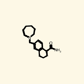 NC(=O)C1[C]CCc2cc(CN3CCCCCC3)ccc21